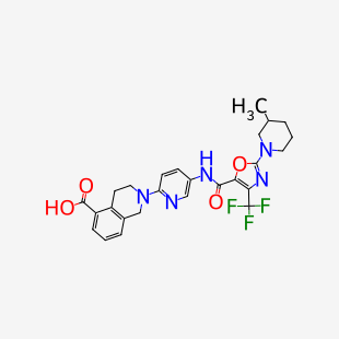 CC1CCCN(c2nc(C(F)(F)F)c(C(=O)Nc3ccc(N4CCc5c(cccc5C(=O)O)C4)nc3)o2)C1